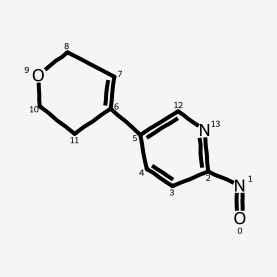 O=Nc1ccc(C2=CCOCC2)cn1